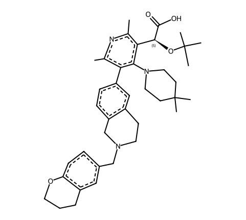 Cc1nc(C)c([C@H](OC(C)(C)C)C(=O)O)c(N2CCC(C)(C)CC2)c1-c1ccc2c(c1)CCN(Cc1ccc3c(c1)CCCO3)C2